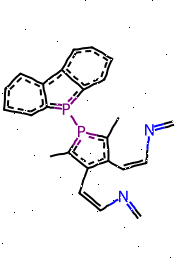 C=N/C=C\c1c(/C=C\N=C)c(C)p(-p2c3ccccc3c3ccccc32)c1C